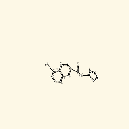 O=C(Nc1nccs1)c1cnc2c(S)cccc2c1